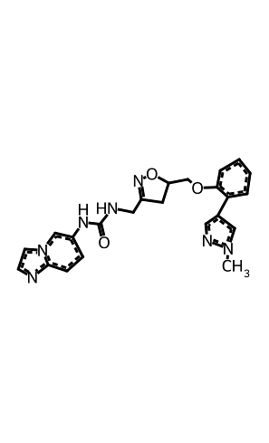 Cn1cc(-c2ccccc2OCC2CC(CNC(=O)Nc3ccc4nccn4c3)=NO2)cn1